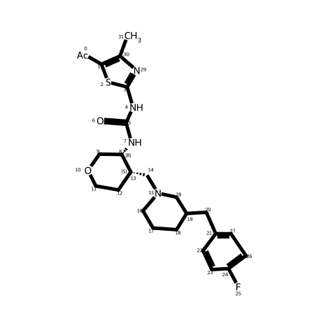 CC(=O)c1sc(NC(=O)N[C@H]2COCC[C@H]2CN2CCCC(Cc3ccc(F)cc3)C2)nc1C